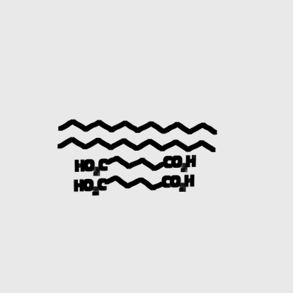 CCCCCCCCCCCCC.CCCCCCCCCCCCC.O=C(O)CCCCC(=O)O.O=C(O)CCCCC(=O)O